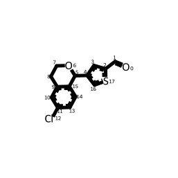 O=Cc1cc(C2OCCc3cc(Cl)ccc32)cs1